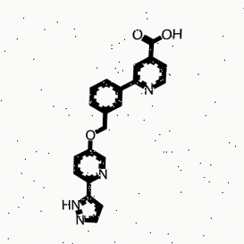 O=C(O)c1ccnc(-c2cccc(COc3ccc(-c4ccn[nH]4)nc3)c2)c1